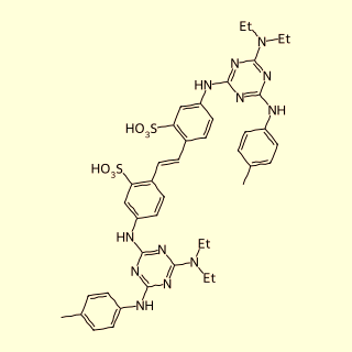 CCN(CC)c1nc(Nc2ccc(C)cc2)nc(Nc2ccc(C=Cc3ccc(Nc4nc(Nc5ccc(C)cc5)nc(N(CC)CC)n4)cc3S(=O)(=O)O)c(S(=O)(=O)O)c2)n1